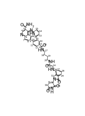 NC(=O)c1cnc2ccc(-c3ccc(C(=O)NCCCCNC(=O)CNc4cccc5c4CN(C4CCC(=O)NC4=O)C5=O)cc3)cc2c1Nc1ccccc1